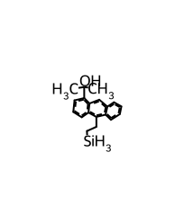 CC(C)(O)c1cccc2c(CC[SiH3])c3ccccc3cc12